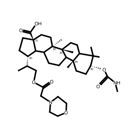 CNC(=O)O[C@@H]1CC[C@@]2(C)C(CC[C@]3(C)C2CCC2C4[C@H](C(C)COC(=O)CN5CCOCC5)CC[C@]4(C(=O)O)CC[C@]23C)C1(C)C